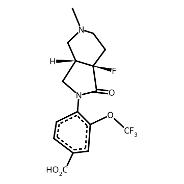 CN1CC[C@]2(F)C(=O)N(c3ccc(C(=O)O)cc3OC(F)(F)F)C[C@@H]2C1